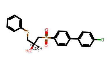 O=C(O)[C@@](O)(CSc1ccccc1)CS(=O)(=O)c1ccc(-c2ccc(Cl)cc2)cc1